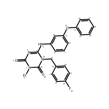 CCn1c(=O)nc(Nc2cccc(Oc3ccccc3)c2)n(Cc2ccc(F)cc2)c1=O